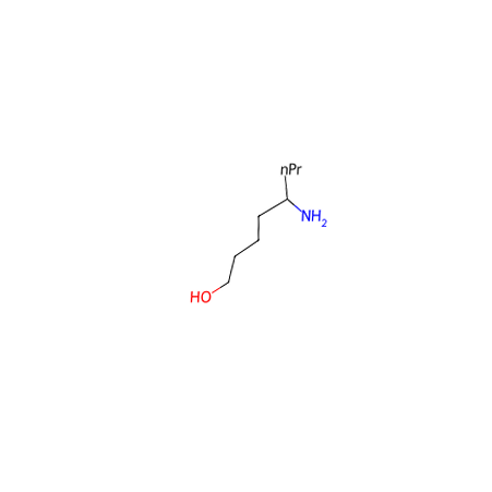 CCCC(N)CCCCO